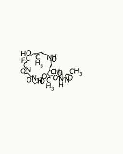 CC1=C\[C@@H](O)C[C@@H](F)Cc2nc(co2)C(=O)N2CCC[C@@H]2C(=O)O[C@H]([C@@H](C)COC(=O)Nc2cc(C)on2)[C@H](C)/C=C/C(=O)NC\C=C\1